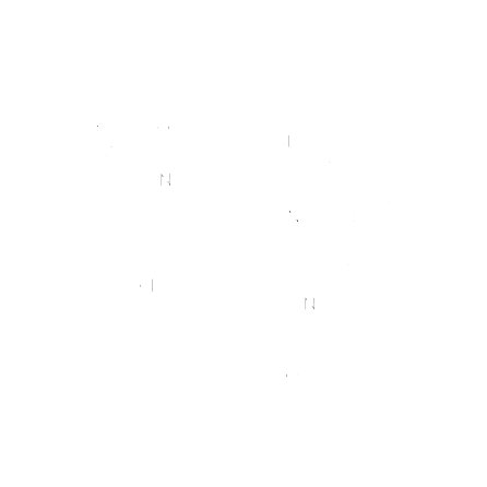 CC(C)(C)OC(=O)N1C[C@@H](CCl)c2c1cc(O)c1c2cc(C(=O)N2CCOCC2)n1C(=O)OC(C)(C)C